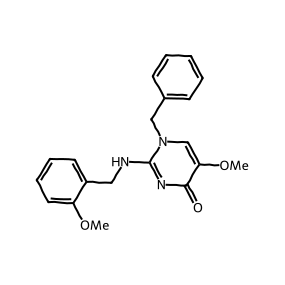 COc1ccccc1CNc1nc(=O)c(OC)cn1Cc1ccccc1